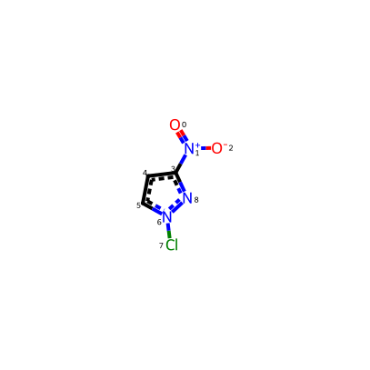 O=[N+]([O-])c1ccn(Cl)n1